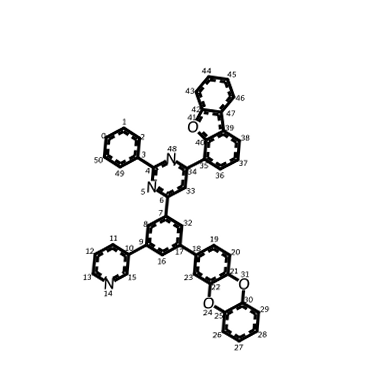 c1ccc(-c2nc(-c3cc(-c4cccnc4)cc(-c4ccc5c(c4)Oc4ccccc4O5)c3)cc(-c3cccc4c3oc3ccccc34)n2)cc1